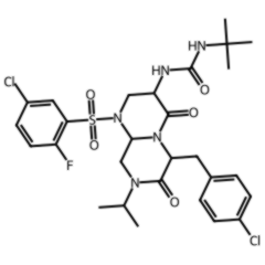 CC(C)N1CC2N(C(=O)C(NC(=O)NC(C)(C)C)CN2S(=O)(=O)c2cc(Cl)ccc2F)C(Cc2ccc(Cl)cc2)C1=O